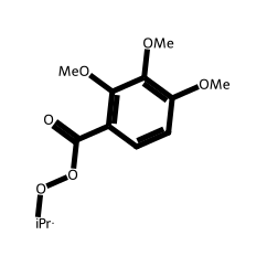 COc1ccc(C(=O)OO[C](C)C)c(OC)c1OC